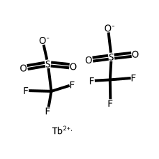 O=S(=O)([O-])C(F)(F)F.O=S(=O)([O-])C(F)(F)F.[Tb+2]